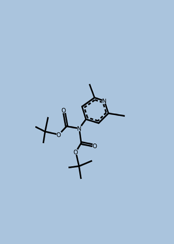 Cc1cc(N(C(=O)OC(C)(C)C)C(=O)OC(C)(C)C)cc(C)n1